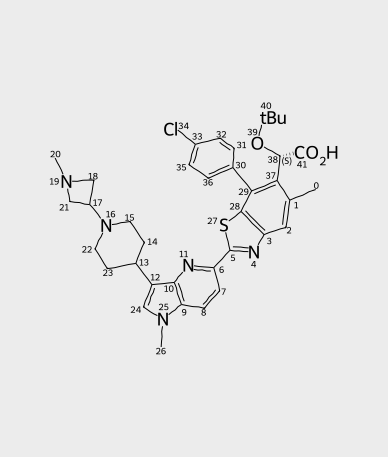 Cc1cc2nc(-c3ccc4c(n3)c(C3CCN(C5CN(C)C5)CC3)cn4C)sc2c(-c2ccc(Cl)cc2)c1[C@H](OC(C)(C)C)C(=O)O